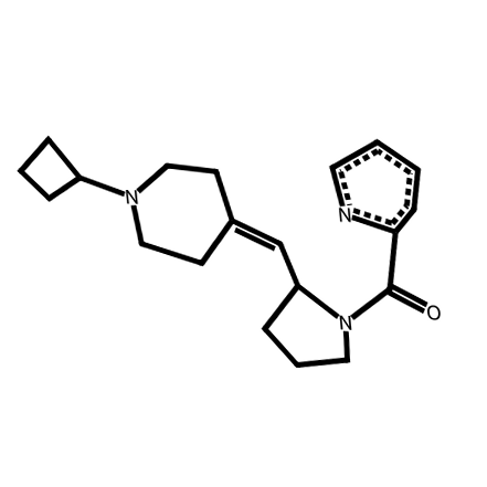 O=C(c1ccccn1)N1CCCC1C=C1CCN(C2CCC2)CC1